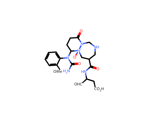 COc1ccccc1N(C(N)=O)C1CCC(=O)N2CNCC(C(=O)NC(C=O)CC(=O)O)C[N+]12[O-]